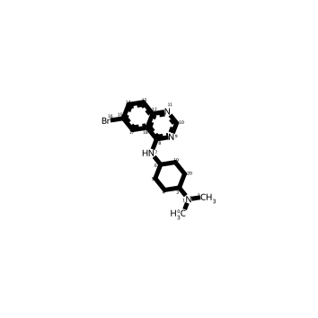 CN(C)C1CCC(Nc2ncnc3ccc(Br)cc23)CC1